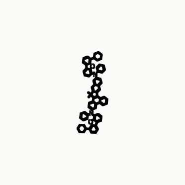 CC1(C)c2cc3cc(N(c4ccccc4)c4cccc5c4oc4c(C6CCCCC6)cccc45)ccc3cc2-c2c1c1ccc(N(c3ccccc3)c3cccc4c3oc3c(C5CCCCC5)cccc34)cc1c1ccccc21